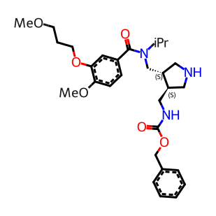 COCCCOc1cc(C(=O)N(C[C@@H]2CNC[C@H]2CNC(=O)OCc2ccccc2)C(C)C)ccc1OC